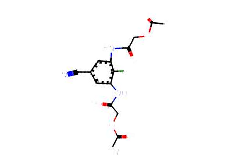 CC(=O)OCC(=O)Nc1cc(C#N)cc(NC(=O)COC(C)=O)c1Cl